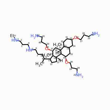 CCNCCCNCCCC(C)C1CC[C@H]2C3[C@H](OCCCN)CC4C[C@H](OCCCN)CC[C@]4(C)[C@H]3C[C@H](OCCCN)[C@]12C